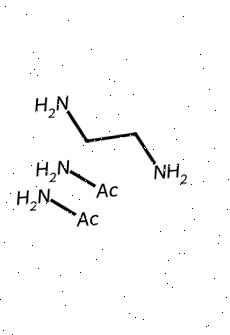 CC(N)=O.CC(N)=O.NCCN